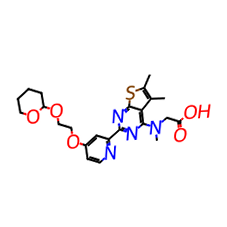 Cc1sc2nc(-c3cc(OCCOC4CCCCO4)ccn3)nc(N(C)CC(=O)O)c2c1C